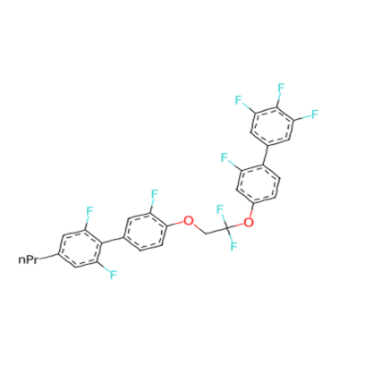 CCCc1cc(F)c(-c2ccc(OCC(F)(F)Oc3ccc(-c4cc(F)c(F)c(F)c4)c(F)c3)c(F)c2)c(F)c1